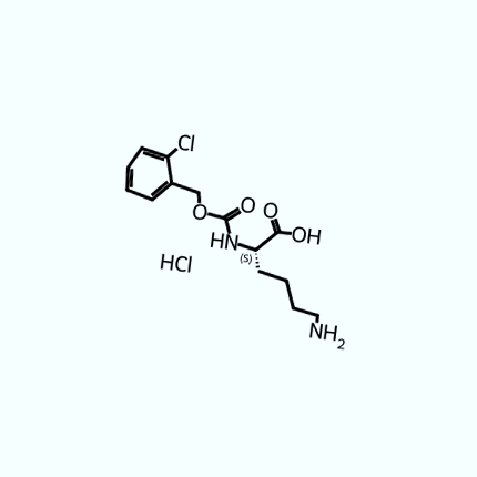 Cl.NCCCC[C@H](NC(=O)OCc1ccccc1Cl)C(=O)O